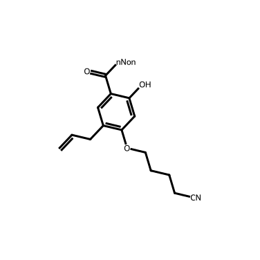 C=CCc1cc(C(=O)CCCCCCCCC)c(O)cc1OCCCCC#N